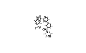 O=C(c1cccc(-c2ccnc(-c3cnc4cnc(C(F)F)cn34)n2)c1)N1CCNCC1